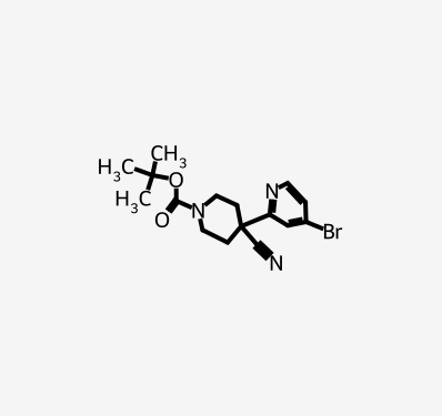 CC(C)(C)OC(=O)N1CCC(C#N)(c2cc(Br)ccn2)CC1